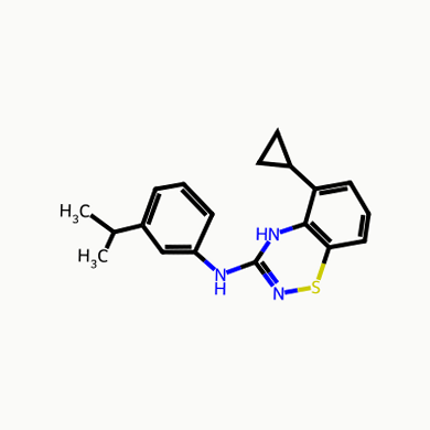 CC(C)c1cccc(NC2=NSc3cccc(C4CC4)c3N2)c1